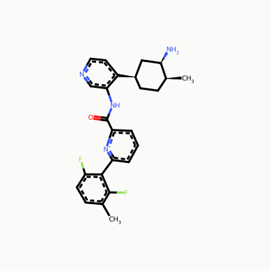 Cc1ccc(F)c(-c2cccc(C(=O)Nc3cnccc3[C@@H]3CC[C@H](C)[C@H](N)C3)n2)c1F